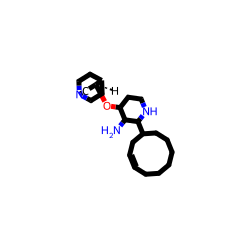 NC1C(O[C@H]2CN3CCC2CC3)CCNC1C1C/C=C\CCCCCC1